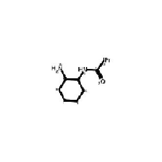 CC(C)C(=O)NC1CCCCC1N